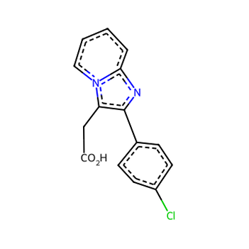 O=C(O)Cc1c(-c2ccc(Cl)cc2)nc2ccccn12